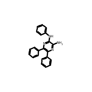 Nc1nc(-c2ccccc2)c(-c2ccccc2)nc1Nc1ccccc1